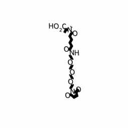 C[C@@H](C(=O)O)N(C)C(=O)CCCCC(=O)NCCOCCOCCOCCN1C(=O)C=CC1=O